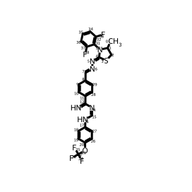 CC1CS/C(=N\N=C\c2ccc(C(=N)/N=C\Nc3ccc(OC(F)(F)F)cc3)cc2)N1c1c(F)cccc1F